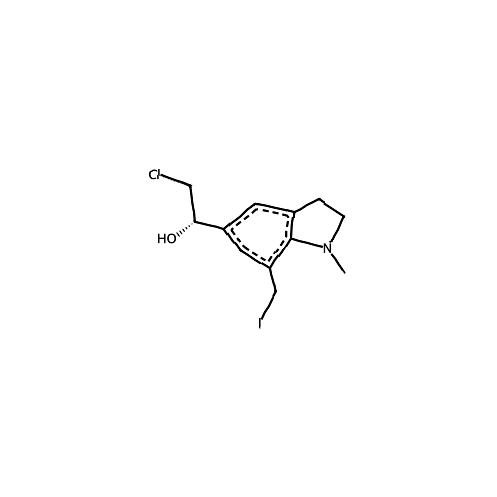 CN1CCc2cc([C@H](O)CCl)cc(CI)c21